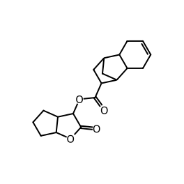 O=C(OC1C(=O)OC2CCCC21)C1CC2CC1C1CC=CCC21